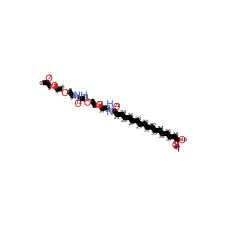 CC(=O)COCCOCCNC(=O)COCCOCCNC(=O)CCCCCCCCCCCCCCCCC(=O)OI